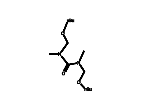 CCCCOCN(C)C(=O)N(C)COCCCC